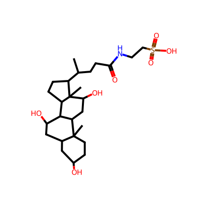 CC(CCC(=O)NCCS(=O)(=O)O)C1CCC2C3C(O)CC4CC(O)CCC4(C)C3CC(O)C12C